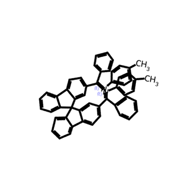 Cc1ccc(/N=C(\c2ccccc2)c2ccc3c(c2)C2(c4ccccc4-3)c3ccccc3-c3ccc(/C(=N/c4ccc(C)cc4)c4ccccc4)cc32)cc1